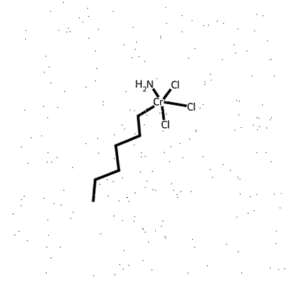 CCCCC[CH2][Cr]([NH2])([Cl])([Cl])[Cl]